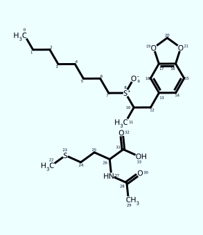 CCCCCCCC[S+]([O-])C(C)Cc1ccc2c(c1)OCO2.CSCCC(NC(C)=O)C(=O)O